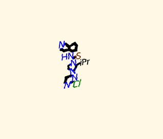 CC(C)C1CN(c2ccnc(Cl)n2)CCN1C(=S)Nc1cccc2cnccc12